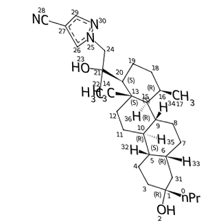 CCC[C@@]1(O)CC[C@H]2[C@H](CC[C@@H]3[C@@H]2CC[C@@]2(C)[C@H]3[C@H](C)CC[C@@H]2C(C)(O)Cn2cc(C#N)cn2)C1